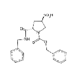 O=C(NCc1ccccc1)[C@@H]1C[C@@H](S(=O)(=O)O)CN1C(=O)OCc1ccccc1